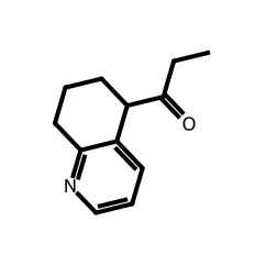 CCC(=O)C1CCCc2ncccc21